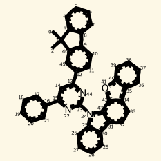 CC1(C)c2ccccc2-c2ccc(-c3cc(-c4ccccc4)nc(-n4c5ccccc5c5ccc6c7ccccc7oc6c54)n3)cc21